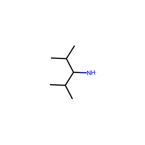 CC(C)C([NH])C(C)C